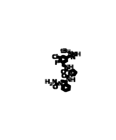 CC(C)(C)n1[nH]nc1-c1cc(Cl)c(F)c(CNC(=O)[C@@H]2CCCN2C(=O)Nc2cn(C(N)=O)c3ccccc23)c1